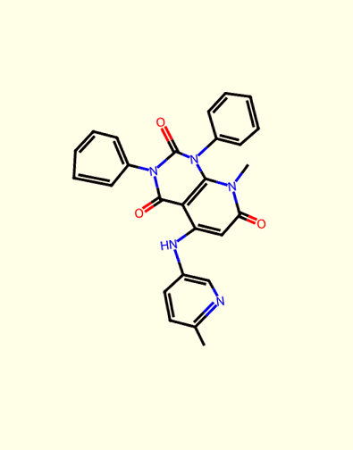 Cc1ccc(Nc2cc(=O)n(C)c3c2c(=O)n(-c2ccccc2)c(=O)n3-c2ccccc2)cn1